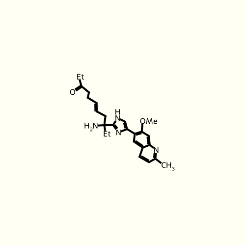 CCC(=O)CC/C=C/CC(N)(CC)c1nc(-c2cc3ccc(C)nc3cc2OC)c[nH]1